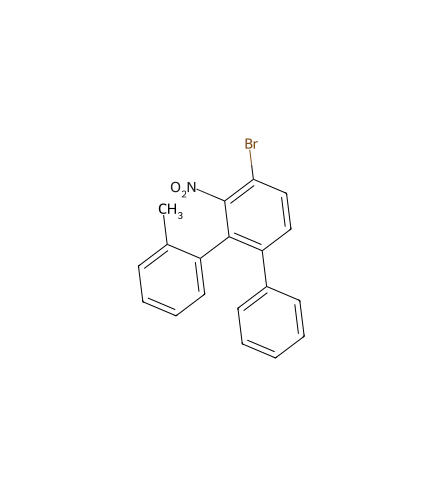 Cc1ccccc1-c1c(-c2ccccc2)ccc(Br)c1[N+](=O)[O-]